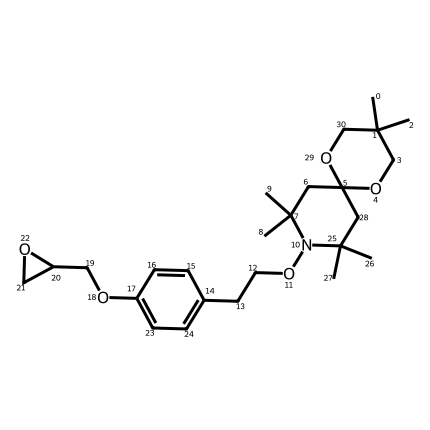 CC1(C)COC2(CC(C)(C)N(OCCc3ccc(OCC4CO4)cc3)C(C)(C)C2)OC1